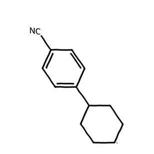 N#Cc1ccc(C2CC[CH]CC2)cc1